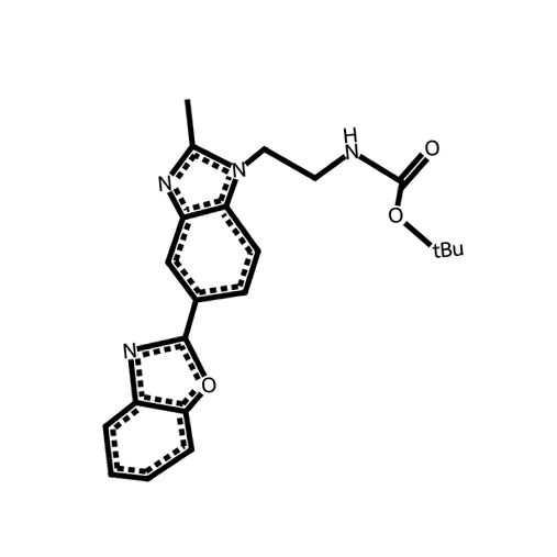 Cc1nc2cc(-c3nc4ccccc4o3)ccc2n1CCNC(=O)OC(C)(C)C